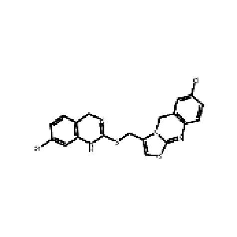 Clc1ccc2c(c1)CN1C(CSC3=NCc4ccc(Br)cc4N3)=CSC1=N2